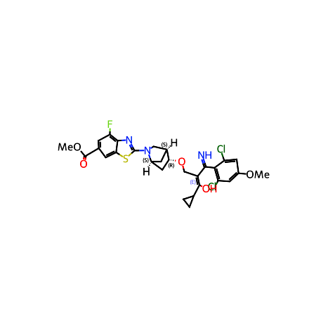 COC(=O)c1cc(F)c2nc(N3C[C@@H]4C[C@H]3C[C@H]4OC/C(C(=N)c3c(Cl)cc(OC)cc3Cl)=C(/O)C3CC3)sc2c1